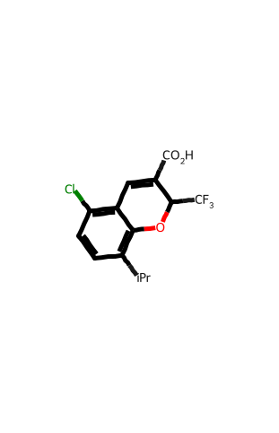 CC(C)c1ccc(Cl)c2c1OC(C(F)(F)F)C(C(=O)O)=C2